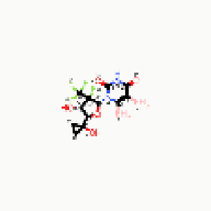 Bc1c(B)n([C@@H]2OC(C3(O)CC3)[C@H](O)C2(F)C(F)(F)F)c(=O)[nH]c1=O